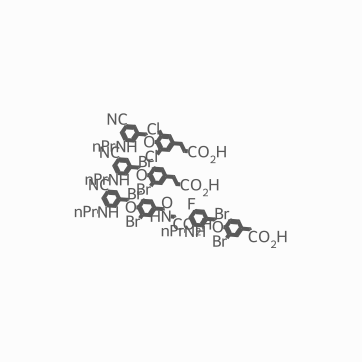 CCCNc1cc(C#N)cc(COc2c(Br)cc(C(=O)NCC(=O)O)cc2Br)c1.CCCNc1cc(C#N)cc(COc2c(Br)cc(CCC(=O)O)cc2Br)c1.CCCNc1cc(C#N)cc(COc2c(Cl)cc(CCC(=O)O)cc2Cl)c1.CCCNc1cc(F)cc(COc2c(Br)cc(CC(=O)O)cc2Br)c1